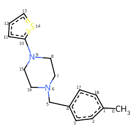 Cc1ccc(CN2CCN(c3cccs3)CC2)cc1